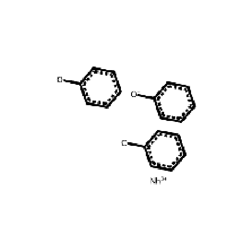 [Nh+3].[O-]c1ccccc1.[O-]c1ccccc1.[O-]c1ccccc1